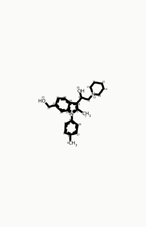 Cc1ccc(-n2c(C)c(C(O)CN3CCCCC3)c3ccc(CO)cc32)cc1